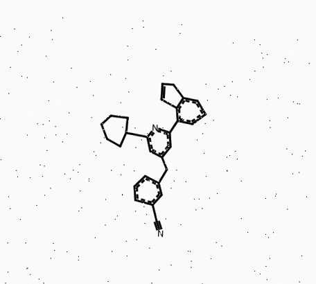 N#Cc1cccc(Cc2cc(-c3cccc4c3C=CC4)nc(C3CCCCC3)c2)c1